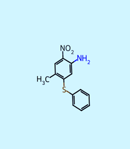 Cc1cc([N+](=O)[O-])c(N)cc1Sc1ccccc1